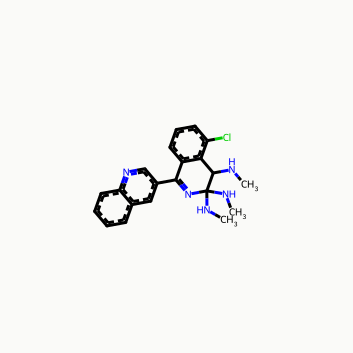 CNC1c2c(Cl)cccc2C(c2cnc3ccccc3c2)=NC1(NC)NC